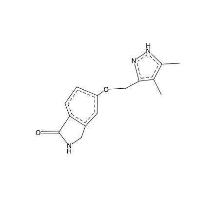 Cc1[nH]nc(COc2ccc3c(c2)CNC3=O)c1C